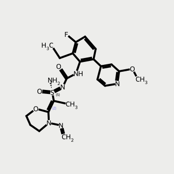 C=NN1CCCO/C1=C(/C)[S@@](N)(=O)=NC(=O)Nc1c(-c2ccnc(OC)c2)ccc(F)c1CC